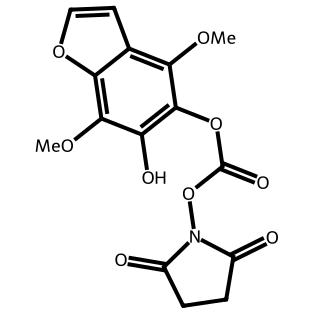 COc1c(OC(=O)ON2C(=O)CCC2=O)c(O)c(OC)c2occc12